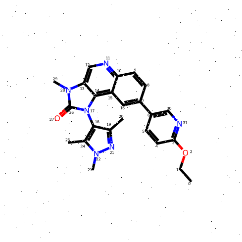 CCOc1ccc(-c2ccc3ncc4c(c3c2)n(-c2c(C)nn(C)c2C)c(=O)n4C)cn1